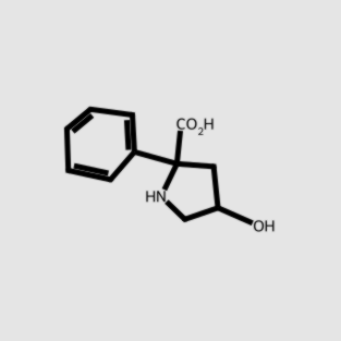 O=C(O)C1(c2ccccc2)CC(O)CN1